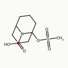 CS(=O)(=O)OC12CCCC(COC1)N2C(=O)O